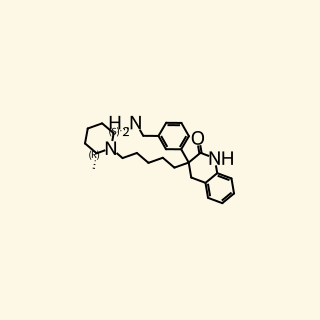 C[C@@H]1CCC[C@H](C)N1CCCCCC1(c2cccc(CN)c2)Cc2ccccc2NC1=O